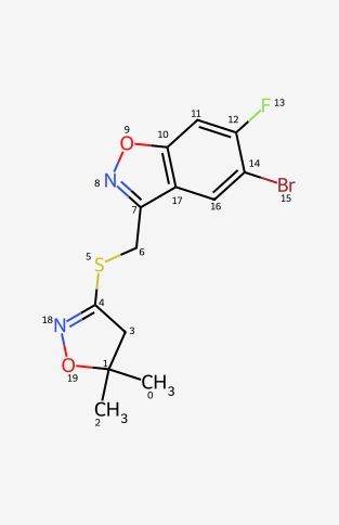 CC1(C)CC(SCc2noc3cc(F)c(Br)cc23)=NO1